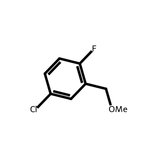 COCc1cc(Cl)ccc1F